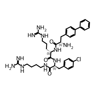 N=C(N)NCCCCNC(=O)[C@H](Cc1ccc(Cl)cc1)NC(=O)[C@H](CCCNC(=N)N)NC(=O)[C@@H](N)Cc1ccc(-c2ccccc2)cc1